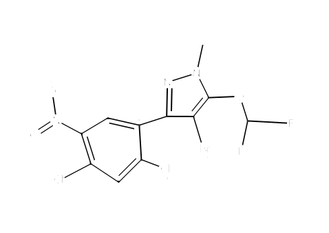 Cn1nc(-c2cc([N+](=O)[O-])c(Cl)cc2Cl)c(Br)c1OC(F)F